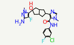 Cn1cnc(C2CC3CC(O)(c4c(F)c(N)nn4C)CC3C2)c1C(=O)Nc1ccc(F)c(Cl)c1